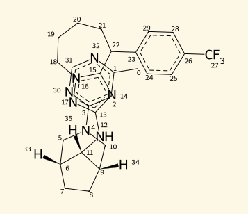 Cc1cc(N2C[C@H]3CC[C@@H](C2)[C@H]3Nc2nc3n(n2)CCCCC3c2ccc(C(F)(F)F)cc2)ncn1